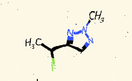 CC(F)c1[c]nn(C)n1